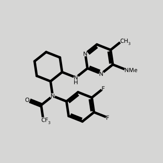 CNc1nc(NC2CCCCC2N(C(=O)C(F)(F)F)c2ccc(F)c(F)c2)ncc1C